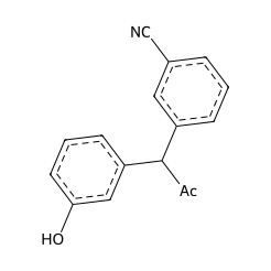 CC(=O)C(c1cccc(O)c1)c1cccc(C#N)c1